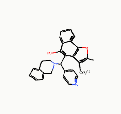 CCOC(=O)c1c(C)oc2c1c(C(c1ccncc1)N1CCc3ccccc3C1)c(O)c1ccccc12